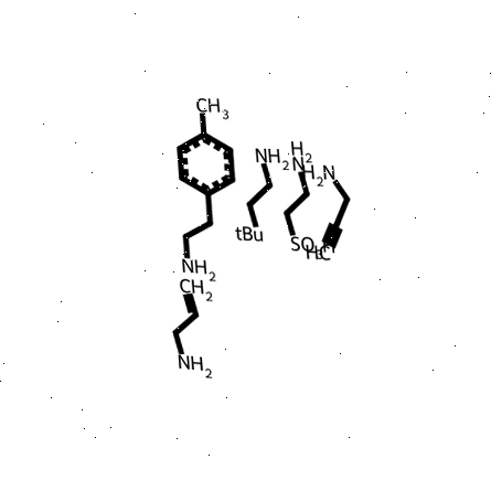 C#CCN.C=CCN.CC(C)(C)CCN.Cc1ccc(CCN)cc1.NCCS(=O)(=O)O